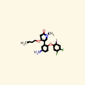 C=CCCOc1cc(=O)n(C)cc1-c1cc(N)ccc1Oc1cc(F)c(F)cc1I